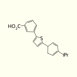 CC(C)C1=CCC(c2ccc(-c3cccc(C(=O)O)c3)s2)C=C1